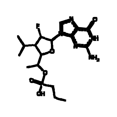 CCCP(=O)(O)OC(C)C1OC(n2cnc3c(=O)[nH]c(N)nc32)C(F)C1C(C)C